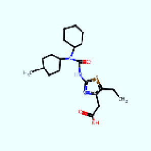 CCc1sc(NC(=O)N(C2CCCCC2)C2CCC(C)CC2)nc1CC(=O)O